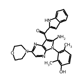 Cc1ccc(O)c(C)c1-n1c(N)c(C(=O)c2cc3ccccc3[nH]2)c2nc(N3CCOCC3)cnc21